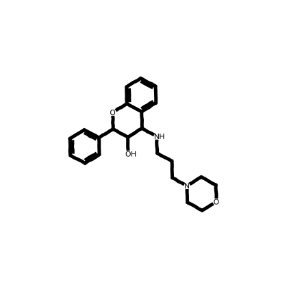 OC1C(NCCCN2CCOCC2)c2ccccc2OC1c1ccccc1